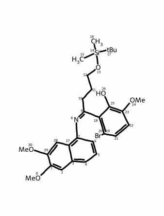 COc1cc2cccc(/N=C(/CCCO[Si](C)(C)C(C)(C)C)c3c(Br)ccc(OC)c3O)c2cc1OC